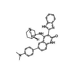 CN(C)c1ccc(-c2ccc3[nH]c(=O)c(-c4nc5ccccc5[nH]4)c(N[C@H]4CN5CCC4CC5)c3c2)cc1